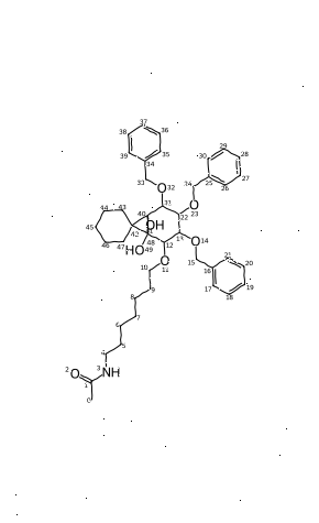 CC(=O)NCCCCCCCOC1C(OCc2ccccc2)C(OCc2ccccc2)C(OCc2ccccc2)C2(O)C3(CCCCC3)C12O